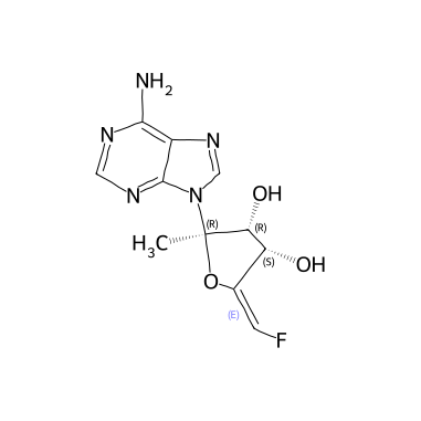 C[C@@]1(n2cnc3c(N)ncnc32)O/C(=C/F)[C@@H](O)[C@H]1O